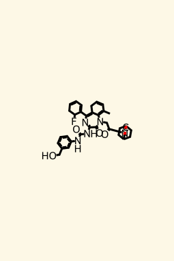 CC1=C2C(=C(C3=CC=CCC3F)N=C(NC(=O)Nc3cccc(CO)c3)C(=O)N2CC(=O)N2CC3CCC(CC3)C2)CC=C1